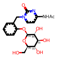 CC(=O)Nc1ccn(Cc2ccccc2O[C@@H]2O[C@H](CO)[C@@H](O)[C@H](O)[C@H]2O)c(=O)n1